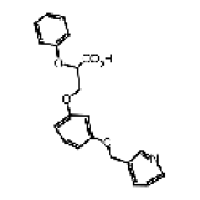 O=C(O)C(COc1cccc(OCc2cccnc2)c1)Oc1ccccc1